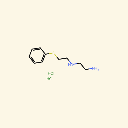 Cl.Cl.NCCNCCSc1ccccc1